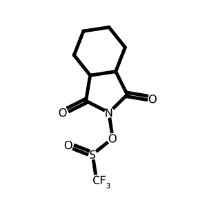 O=C1C2CCCCC2C(=O)N1OS(=O)C(F)(F)F